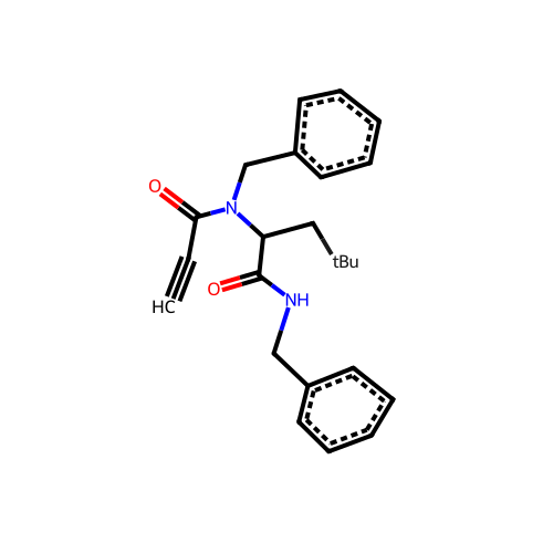 C#CC(=O)N(Cc1ccccc1)C(CC(C)(C)C)C(=O)NCc1ccccc1